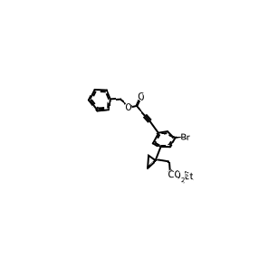 CCOC(=O)CC1(c2cc(Br)cc(C#CC(=O)OCc3ccccc3)c2)CC1